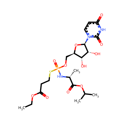 CCOC(=O)CCSP(=O)(N[C@H](C)C(=O)OC(C)C)OC[C@H]1O[C@@H](n2ccc(=O)[nH]c2=O)[C@H](O)[C@@H]1O